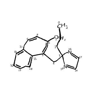 CCCC1(Cc2c(O)ccc3ccccc23)N=CC=N1